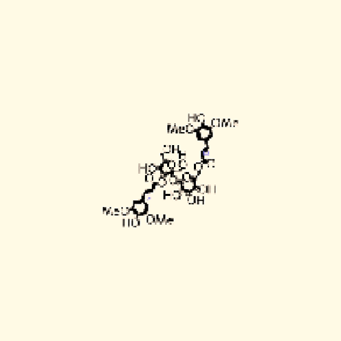 COc1cc(/C=C/C(=O)OC[C@H]2O[C@H](O[C@]3(CO)O[C@H](CO)[C@@H](O)[C@@H]3OC(=O)/C=C/c3cc(OC)c(O)c(OC)c3)[C@H](O)[C@@H](O)[C@@H]2O)cc(OC)c1O